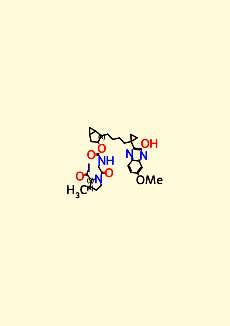 COc1ccc2nc(C3(CCCC[C@H]4C(OC(=O)NCC(=O)N5CC[C@@H](C)[C@H]5C(=O)I)CC5CC54)CC3)c(O)nc2c1